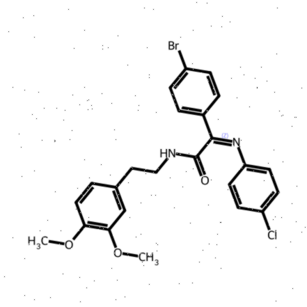 COc1ccc(CCNC(=O)/C(=N\c2ccc(Cl)cc2)c2ccc(Br)cc2)cc1OC